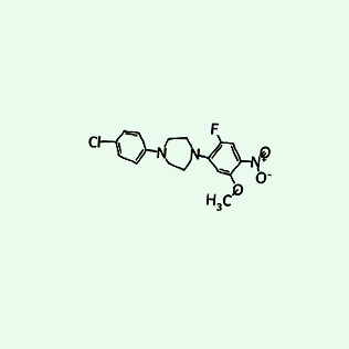 COc1cc(N2CCN(c3ccc(Cl)cc3)CC2)c(F)cc1[N+](=O)[O-]